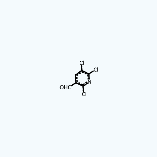 O=[C]c1cc(Cl)c(Cl)nc1Cl